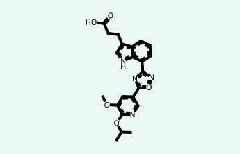 COc1cc(-c2nc(-c3cccc4c(CCC(=O)O)c[nH]c34)no2)cnc1OC(C)C